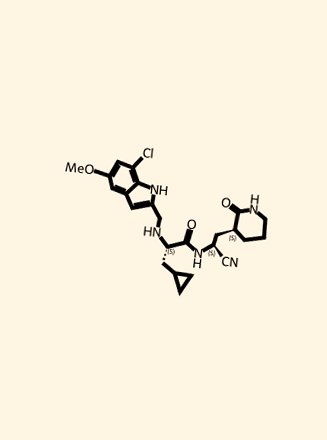 COc1cc(Cl)c2[nH]c(CN[C@@H](CC3CC3)C(=O)N[C@H](C#N)C[C@@H]3CCCNC3=O)cc2c1